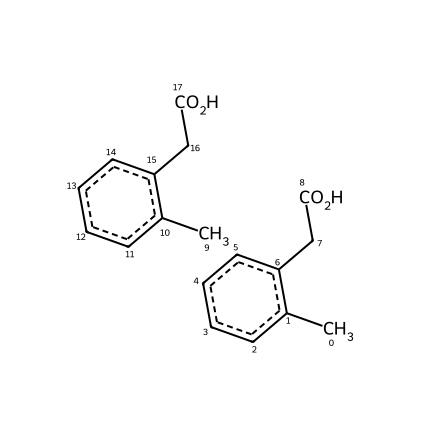 Cc1ccccc1CC(=O)O.Cc1ccccc1CC(=O)O